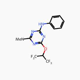 CNc1nc(Nc2ccccc2)nc(OC(C(F)(F)F)C(F)(F)F)n1